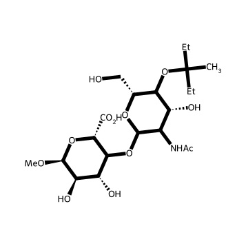 CCC(C)(CC)OC1[C@H](O)C(NC(C)=O)C(OC2[C@@H](C(=O)O)O[C@H](OC)[C@H](O)[C@H]2O)O[C@@H]1CO